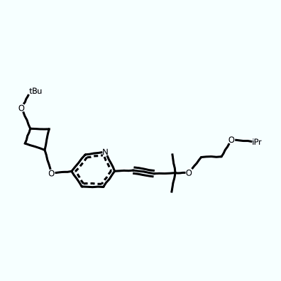 CC(C)OCCOC(C)(C)C#Cc1ccc(OC2CC(OC(C)(C)C)C2)cn1